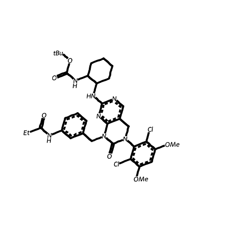 CCC(=O)Nc1cccc(CN2C(=O)N(c3c(Cl)c(OC)cc(OC)c3Cl)Cc3cnc(NC4CCCCC4NC(=O)OC(C)(C)C)nc32)c1